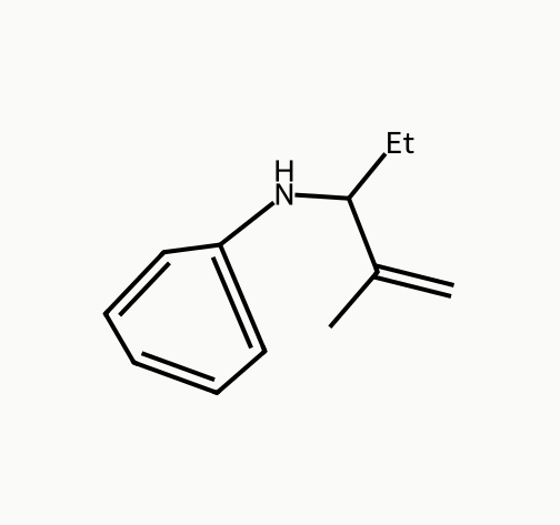 C=C(C)C(CC)Nc1ccccc1